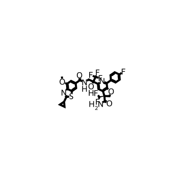 COc1cc(C(=O)NCC(O)(c2cc3c(c(-c4ccc(F)cc4)n2)OC[C@@]3(C(N)=O)C(F)F)C(F)(F)F)cc2sc(C3CC3)nc12